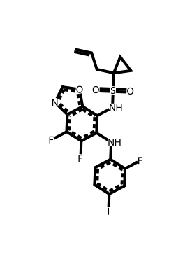 C=CCC1(S(=O)(=O)Nc2c(Nc3ccc(I)cc3F)c(F)c(F)c3ncoc23)CC1